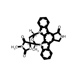 CN1C(=O)O[C@]2(C[C@H]3O[C@]2(C)n2c4ccccc4c4c5c(c6c7ccccc7n3c6c42)C(=O)NC5)C1=O